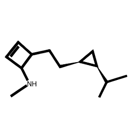 CNC1C=CC1CC[C@H]1C[C@H]1C(C)C